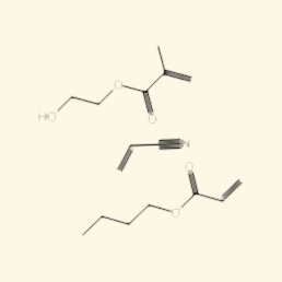 C=C(C)C(=O)OCCO.C=CC#N.C=CC(=O)OCCCC